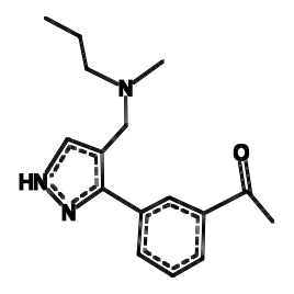 CCCN(C)Cc1c[nH]nc1-c1cccc(C(C)=O)c1